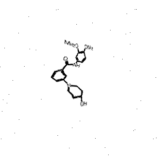 COc1ccc(NC(=O)c2cccc(N3CCC(O)CC3)c2)cc1OC